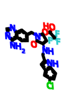 Nc1ncnc2cc(CN3CC[C@@H](NCc4cc5cc(Cl)ccc5[nH]4)C3=O)ccc12.O=C(O)C(F)(F)F